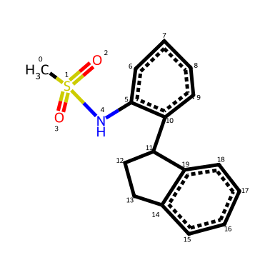 CS(=O)(=O)Nc1ccc[c]c1C1CCc2ccccc21